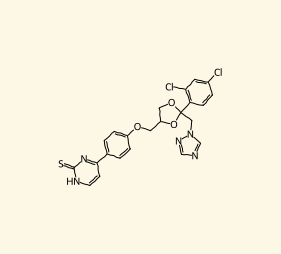 S=c1nc(-c2ccc(OCC3COC(Cn4cncn4)(c4ccc(Cl)cc4Cl)O3)cc2)cc[nH]1